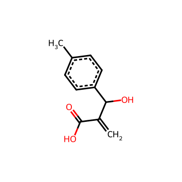 C=C(C(=O)O)C(O)c1ccc(C)cc1